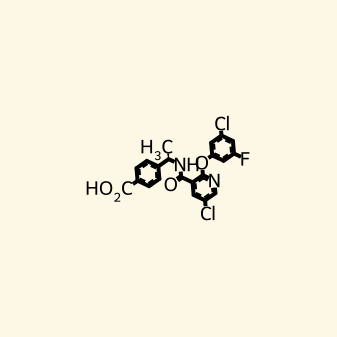 C[C@H](NC(=O)c1cc(Cl)cnc1Oc1cc(F)cc(Cl)c1)c1ccc(C(=O)O)cc1